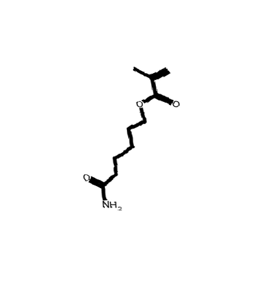 C=C(C)C(=O)OCCCCCC(N)=O